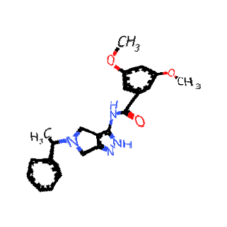 COc1cc(OC)cc(C(=O)Nc2[nH]nc3c2CN(C(C)c2ccccc2)C3)c1